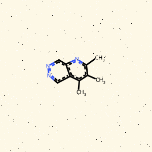 Cc1nc2cnncc2c(C)c1C